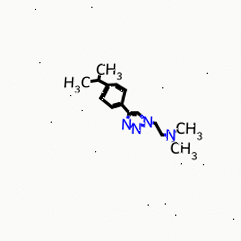 CC(C)c1ccc(-c2cn(CCN(C)C)nn2)cc1